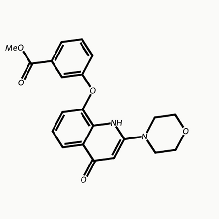 COC(=O)c1cccc(Oc2cccc3c(=O)cc(N4CCOCC4)[nH]c23)c1